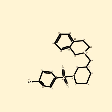 CC(=O)c1ccc(S(=O)(=O)N2CCCC(CN3CCc4ccccc4C3)C2)cc1